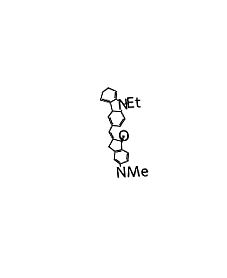 CCN1C2=CCCC=C2C2C=C(/C=C3/Cc4cc(NC)ccc4C3=O)C=CC21